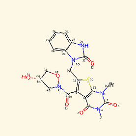 CC(C)n1c(=O)n(C)c(=O)c2c(C(=O)N3C[C@H](O)CO3)c(Cn3c(=O)[nH]c4ccccc43)sc21